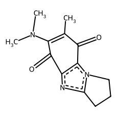 CC1=C(N(C)C)C(=O)c2nc3n(c2C1=O)CCC3